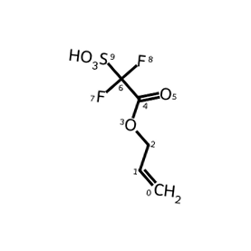 C=CCOC(=O)C(F)(F)S(=O)(=O)O